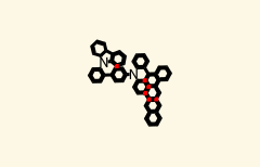 C1=CC2c3ccccc3N(c3ccccc3-c3ccc(N(c4ccc(-c5ccc6ccccc6c5)cc4)c4ccccc4-c4cc5ccccc5c5ccccc45)cc3)C2C=C1